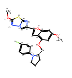 COc1cc(OC[C@@H]2CCCN2c2ccc(F)cc2)c2cc(-c3cn4nc(OC)sc4n3)oc2c1